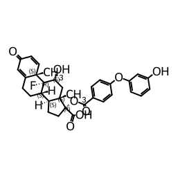 C[C@]12C=CC(=O)C=C1CC[C@H]1[C@@H]3CC[C@](OC(=O)c4ccc(Oc5cccc(O)c5)cc4)(C(=O)O)[C@@]3(C)C[C@H](O)[C@@]12F